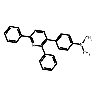 CN(C)c1ccc(-c2ccc(-c3ccccc3)nc2-c2ccccc2)cc1